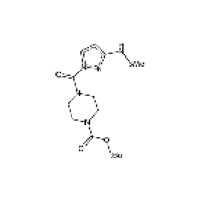 CSNc1ccn(C(=O)N2CCN(C(=O)OC(C)(C)C)CC2)n1